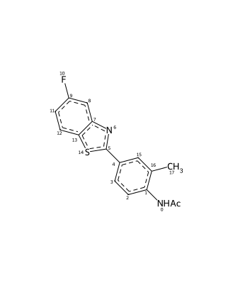 CC(=O)Nc1ccc(-c2nc3cc(F)ccc3s2)cc1C